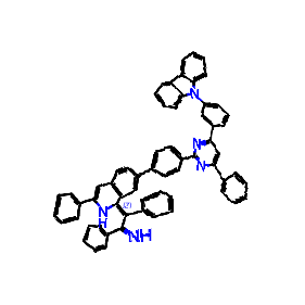 N=C(/C(=C1\NC(c2ccccc2)=Cc2ccc(-c3ccc(-c4nc(-c5ccccc5)cc(-c5cccc(-n6c7ccccc7c7ccccc76)c5)n4)cc3)cc21)c1ccccc1)c1ccccc1